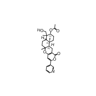 CC(=O)O[C@H]1CC[C@]2(C)[C@H]3Cc4c(cc(-c5cccnc5)oc4=O)O[C@]3(C)CC[C@H]2C1(C)CO